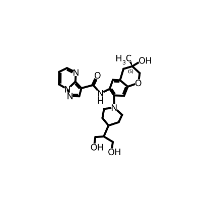 C[C@@]1(O)COc2cc(N3CCC(C(CO)CO)CC3)c(NC(=O)c3cnn4cccnc34)cc2C1